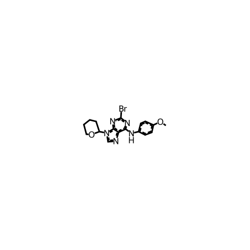 COc1ccc(Nc2nc(Br)nc3c2ncn3C2CCCCO2)cc1